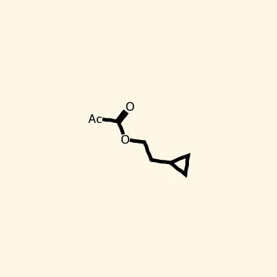 CC(=O)C(=O)OCCC1CC1